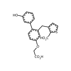 O=C(O)COc1ccc(-c2cccc(O)c2)c(Cc2ccsc2C(=O)O)c1